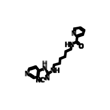 N#CN=C(NCCCCCCNC(=O)c1ccccn1)Nc1ccncc1